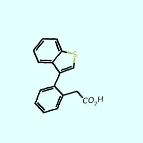 O=C(O)Cc1ccccc1-c1csc2ccccc12